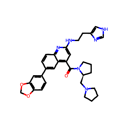 O=C(c1cc(NCCc2c[nH]cn2)nc2ccc(-c3ccc4c(c3)OCO4)cc12)N1CCC[C@H]1CN1CCCC1